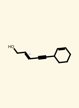 OC/C=C/C#CC1C=CCCC1